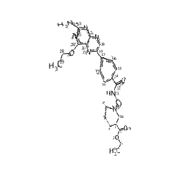 CCOC(=O)C1CCCN(ONC(=O)c2ccc(-c3cnc4nc(N)nc(OCC)c4n3)cc2)C1